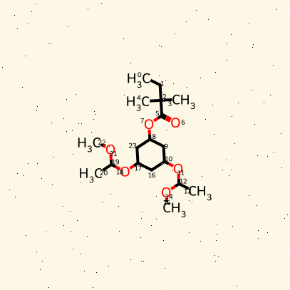 CCC(C)(C)C(=O)OC1CC(OC(C)OC)CC(OC(C)OC)C1